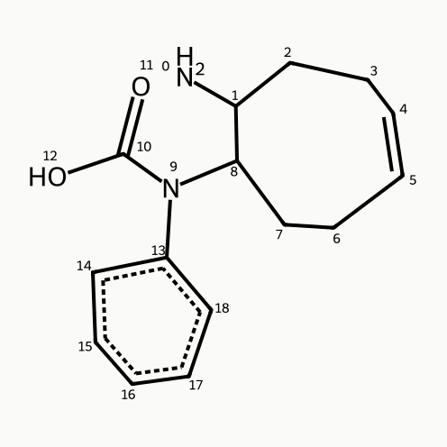 NC1CCC=CCCC1N(C(=O)O)c1ccccc1